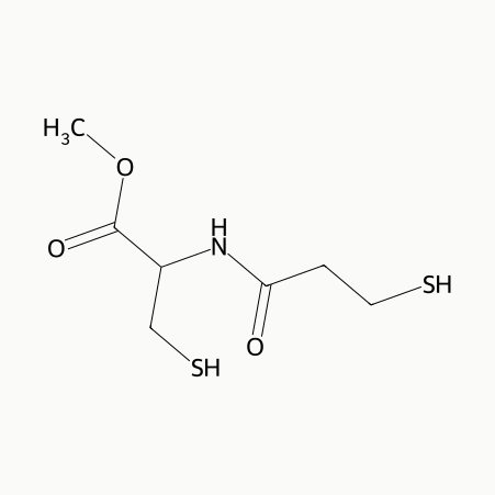 COC(=O)C(CS)NC(=O)CCS